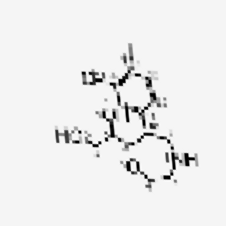 OC[C@@H](O)[C@H]1OCCNC[C@@H]1c1ccc(Cl)c(Cl)c1